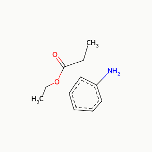 CCOC(=O)CC.Nc1ccccc1